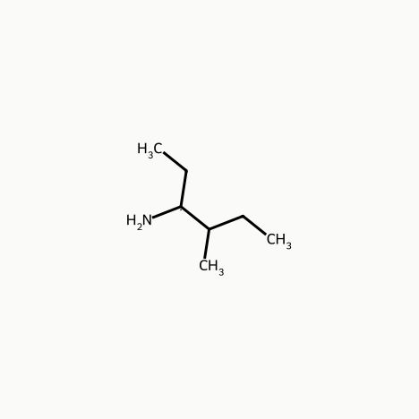 CC[C](N)C(C)CC